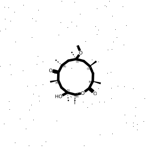 CO[C@@]1(C)C[C@@H](C)C[C@@H](C)C(=O)O[C@H](I)[C@@](C)(O)C[C@@H](C)C(=O)[C@H](C)C1